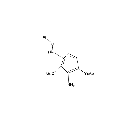 CCONc1ccc(OC)c(N)c1OC